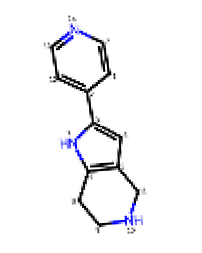 c1cc(-c2cc3c([nH]2)CCNC3)ccn1